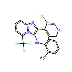 Cc1cccc(Cl)c1Nc1c(C2=CCNC=C2Cl)nc2cccc(C(F)(F)F)n12